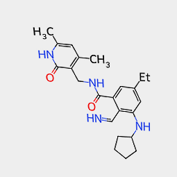 CCc1cc(NC2CCCC2)c(C=N)c(C(=O)NCc2c(C)cc(C)[nH]c2=O)c1